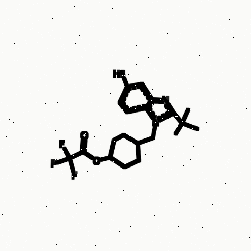 CC(C)(C)c1nc2cc(S)ccc2n1CC1CCC(OC(=O)C(F)(F)F)CC1